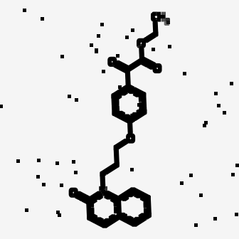 CCOC(=O)C(=O)c1ccc(OCCCn2c(=O)ccc3ccccc32)cc1